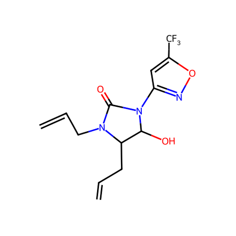 C=CCC1C(O)N(c2cc(C(F)(F)F)on2)C(=O)N1CC=C